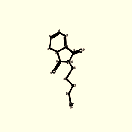 O=C1C2=CC=CCC2C(=O)N1CCCCBr